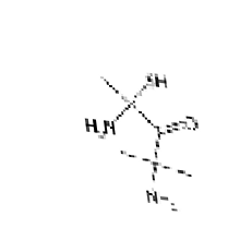 CC(C)(N)C(=O)C(C)(N)S